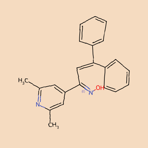 Cc1cc(/C(C=C(c2ccccc2)c2ccccc2)=N/O)cc(C)n1